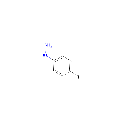 [2H]c1ccc(NN)cc1